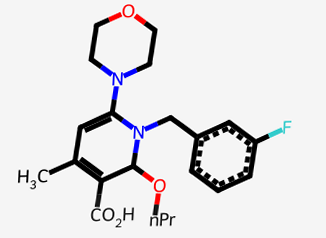 CCCOC1C(C(=O)O)=C(C)C=C(N2CCOCC2)N1Cc1cccc(F)c1